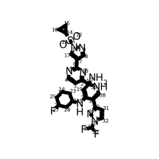 NC1(c2ccnc(-c3cnn(S(=O)(=O)C4CC4)c3)n2)C=C(NC2CCCC(F)C2)C(c2ccn(C(F)F)n2)=CN1